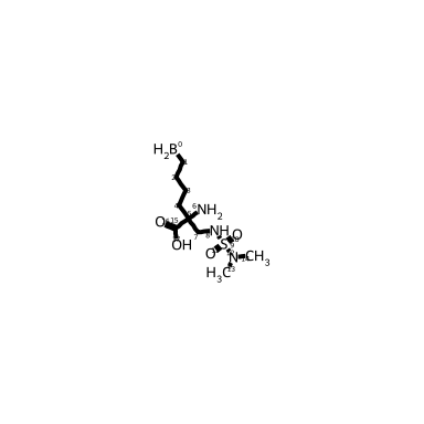 BCCCCC(N)(CNS(=O)(=O)N(C)C)C(=O)O